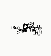 CC(C)(C)OC(=O)n1ncc2c(B3OC(C)(C)C(C)(C)O3)c(O)ccc21